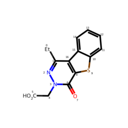 CCc1nn(CC(=O)O)c(=O)c2sc3ccccc3c12